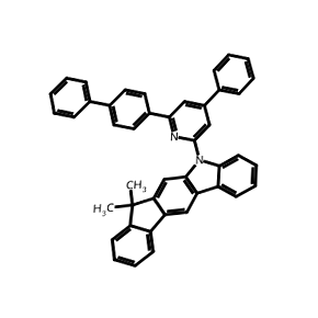 CC1(C)c2ccccc2-c2cc3c4ccccc4n(-c4cc(-c5ccccc5)cc(-c5ccc(-c6ccccc6)cc5)n4)c3cc21